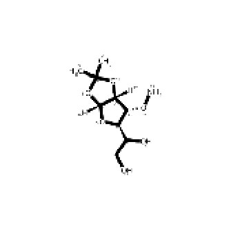 CC1(C)O[C@H]2O[C@H](C(O)CO)[C@@H](ON)[C@H]2O1